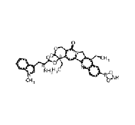 CCc1c2c(nc3ccc(B4ONO4)cc13)-c1cc3c(c(=O)n1C2)COC(=O)[C@@]3(CC)OC(=O)[C@H](N)Cc1cn(C)c2ccccc12